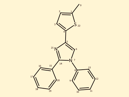 Cc1ccc(-c2cn(-c3ccccc3)c(-c3ccccc3)n2)s1